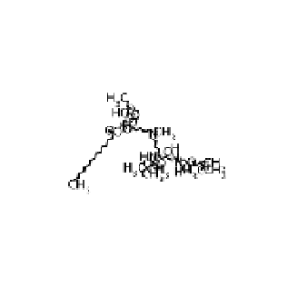 CCCCCCCCCCCCCCCC(=O)OC[C@H](COP(=O)(O)OCCC)OC(=O)CCCCN(C)CCCC[C@H](NC(=O)OC(C)(C)C)C(=O)C(=O)CNNCC(=O)OCC[Si](C)(C)C